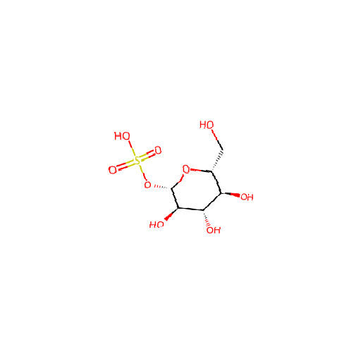 O=S(=O)(O)O[C@@H]1O[C@H](CO)[C@@H](O)[C@H](O)[C@H]1O